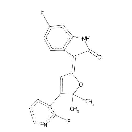 CC1(C)OC(=C2C(=O)Nc3cc(F)ccc32)C=C1c1cccnc1F